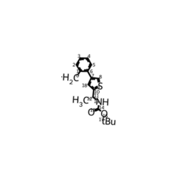 [CH2]c1ccccc1-c1csc([C@@H](C)NC(=O)OC(C)(C)C)c1